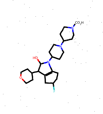 O=C(O)N1CCC(N2CCC(N3C4=C(CC(F)CC4)C(C4CCOCC4)C3O)CC2)CC1